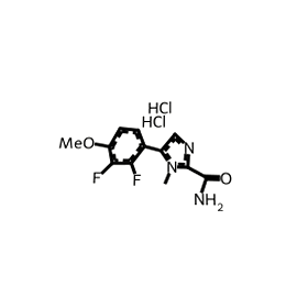 COc1ccc(-c2cnc(C(N)=O)n2C)c(F)c1F.Cl.Cl